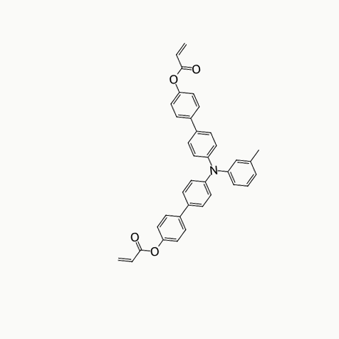 C=CC(=O)Oc1ccc(-c2ccc(N(c3ccc(-c4ccc(OC(=O)C=C)cc4)cc3)c3cccc(C)c3)cc2)cc1